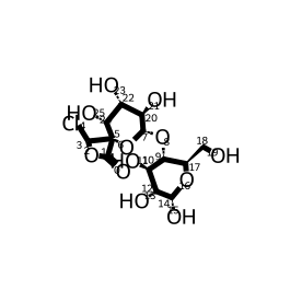 O=C1OC(Cl)[C@]12O[C@@H](O[C@H]1[C@H](O)[C@@H](O)[C@@H](O)O[C@@H]1CO)[C@H](O)[C@@H](O)[C@H]2O